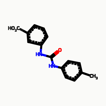 Cc1ccc(NC(=O)Nc2cccc(C(=O)O)c2)cc1